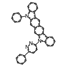 c1ccc(-c2ccc(-n3c4ccccc4c4cc5cc6c7ccccc7n(-c7ccccc7)c6cc5cc43)nn2)cc1